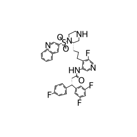 O=C(C[C@@H](c1ccc(F)cc1)c1cc(F)cc(F)c1)Nc1cncc(F)c1CCC[C@H]1CNCCN1S(=O)(=O)c1cnc2ccccc2c1